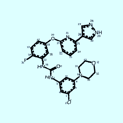 O=C(Nc1cc(Cl)cc(N2CCOCC2)c1)Nc1cc(Oc2cccc(-c3cn[nH]c3)n2)ccc1F